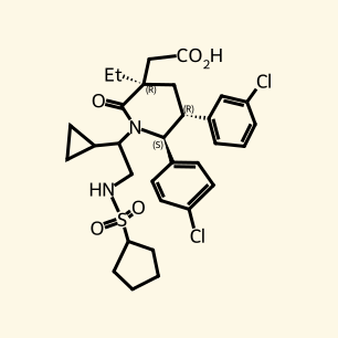 CC[C@]1(CC(=O)O)C[C@H](c2cccc(Cl)c2)[C@@H](c2ccc(Cl)cc2)N(C(CNS(=O)(=O)C2CCCC2)C2CC2)C1=O